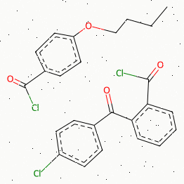 CCCCOc1ccc(C(=O)Cl)cc1.O=C(Cl)c1ccccc1C(=O)c1ccc(Cl)cc1